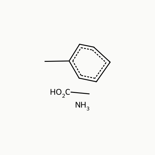 CC(=O)O.Cc1ccccc1.N